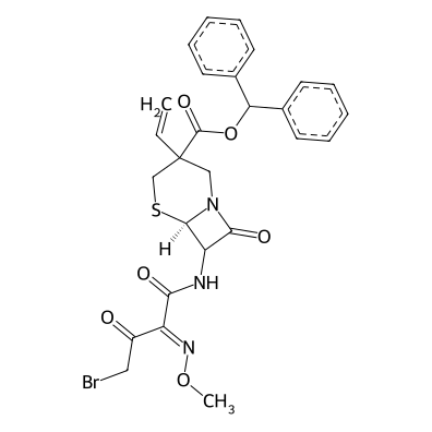 C=CC1(C(=O)OC(c2ccccc2)c2ccccc2)CS[C@@H]2C(NC(=O)C(=NOC)C(=O)CBr)C(=O)N2C1